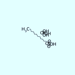 CCCCCCCCCCCCOS(=O)(=O)O.O=P(O)(O)O